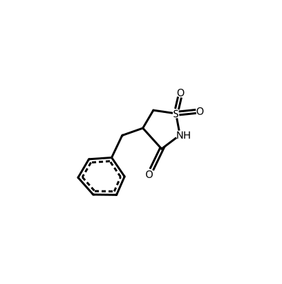 O=C1NS(=O)(=O)CC1Cc1ccccc1